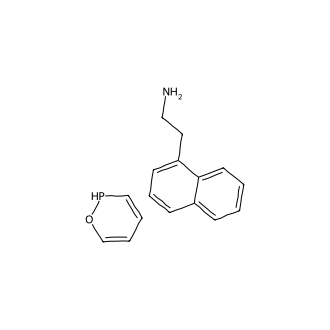 C1=COPC=C1.NCCc1cccc2ccccc12